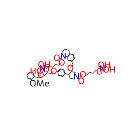 COc1ccccc1COCCCOc1ccc(C2CCN(C(=O)OCCCCON(O)O)CC2OCc2ccc3c(c2)N(C(=O)OCCCCON(O)O)CCC3)cc1